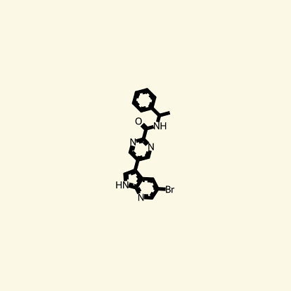 CC(NC(=O)c1ncc(-c2c[nH]c3ncc(Br)cc23)cn1)c1ccccc1